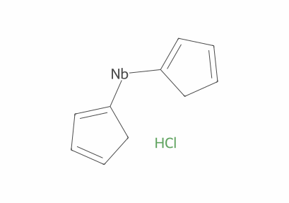 C1=CC[C]([Nb][C]2=CC=CC2)=C1.Cl